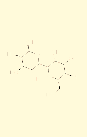 C[C@H]1OC([C]2O[C@H](CO)[C@H](O)[C@H](O)[C@H]2O)[C@H](O)[C@@H](O)[C@H]1O